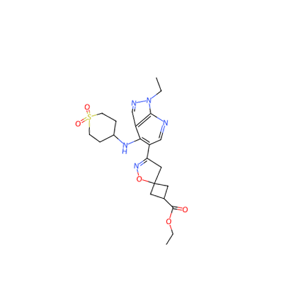 CCOC(=O)C1CC2(CC(c3cnc4c(cnn4CC)c3NC3CCS(=O)(=O)CC3)=NO2)C1